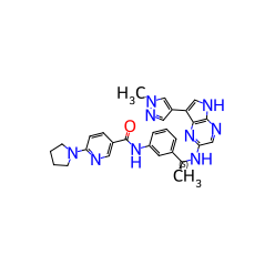 C[C@H](Nc1cnc2[nH]cc(-c3cnn(C)c3)c2n1)c1cccc(NC(=O)c2ccc(N3CCCC3)nc2)c1